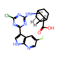 O=C(O)[C@H]1C2CCC(CC2)[C@@H]1Nc1nc(Cl)nc(-c2c[nH]c3ncc(F)cc23)n1